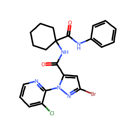 O=C(NC1(C(=O)Nc2ccccc2)CCCCC1)c1cc(Br)nn1-c1ncccc1Cl